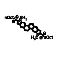 CCCCCCCCS(=O)(=O)c1cc2cc3ccc4c5cc6c(cc(S(=O)(=O)CCCCCCCC)n6C)cc5ccc4c3cc2n1C